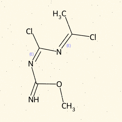 COC(=N)/N=C(Cl)\N=C(/C)Cl